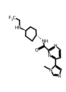 Cn1cncc1-c1ccnc(C(=O)N[C@H]2CC[C@H](NCC(F)(F)F)CC2)n1